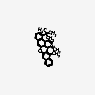 Cc1c2c(cc3ccccc13)OC1=Cc3cccc(C(C)(C)C)c3C3C=C[N+](C)=C2C13